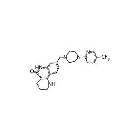 O=c1[nH]c2cc(CN3CCN(c4ccc(C(F)(F)F)cn4)CC3)ccc2c2c1CCCN2